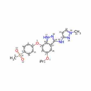 CC(C)Oc1cc(Oc2ccc(S(C)(=O)=O)cc2)c2[nH]nc(Nc3ccn(C)n3)c2c1